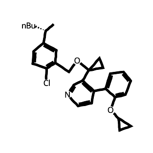 CCCC[C@H](C)c1ccc(Cl)c(COC2(c3cnccc3-c3ccccc3OC3CC3)CC2)c1